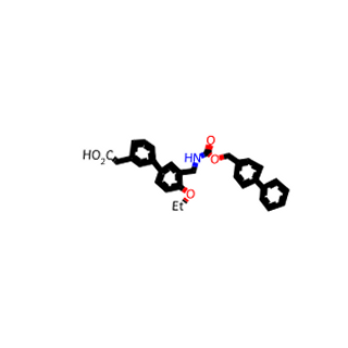 CCOc1ccc(-c2cccc(CC(=O)O)c2)cc1CNC(=O)OCc1ccc(-c2ccccc2)cc1